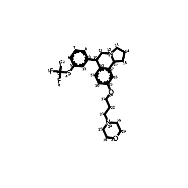 FC(F)(F)Sc1cccc(C2CN3CCCC3c3cc(OCCCN4CCOCC4)ccc32)c1